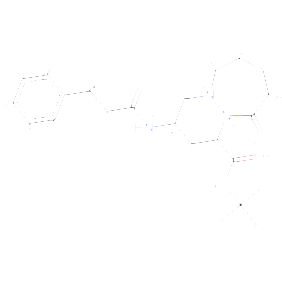 CC(C)(C)OC(=O)C1CC(NC(=O)CCc2ccccc2)CN2CCCCC(=O)N12